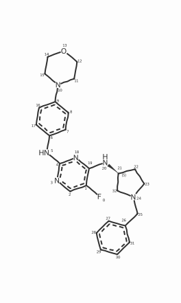 Fc1cnc(Nc2ccc(N3CCOCC3)cc2)nc1N[C@H]1CCN(Cc2ccccc2)C1